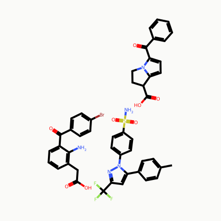 Cc1ccc(-c2cc(C(F)(F)F)nn2-c2ccc(S(N)(=O)=O)cc2)cc1.Nc1c(CC(=O)O)cccc1C(=O)c1ccc(Br)cc1.O=C(c1ccccc1)c1ccc2n1CCC2C(=O)O